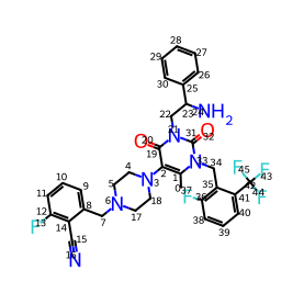 Cc1c(N2CCN(Cc3cccc(F)c3C#N)CC2)c(=O)n(CC(N)c2ccccc2)c(=O)n1Cc1c(F)cccc1C(F)(F)F